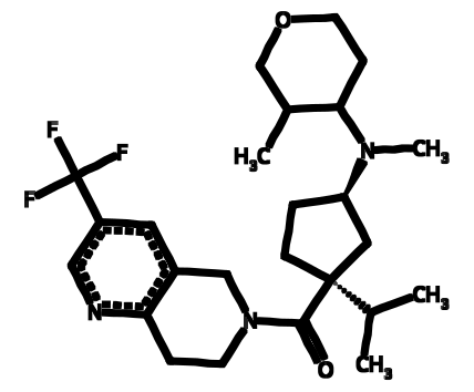 CC1COCCC1N(C)[C@@H]1CC[C@@](C(=O)N2CCc3ncc(C(F)(F)F)cc3C2)(C(C)C)C1